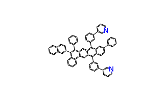 c1ccc(-c2ccc3c(-c4cccc(-c5cccnc5)c4)c4cc5c(cc4c(-c4cccc(-c6cccnc6)c4)c3c2)c(-c2ccccc2)c(-c2ccc3ccccc3c2)c2ccccc25)cc1